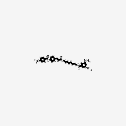 Nc1cc(N)cc(C(=O)OCCCCCCCCOC(=O)/C=C/c2ccc(OC(=O)c3ccc(C(F)(F)F)cc3)cc2)c1